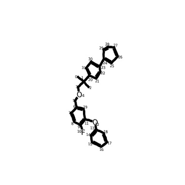 CC(C)(COCc1ccc(F)c(Oc2ccccc2)c1)c1ccc(-c2ccccc2)cc1